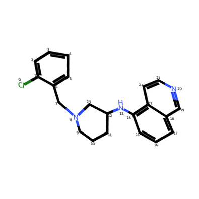 Clc1ccccc1CN1CCCC(Nc2cccc3cnccc23)C1